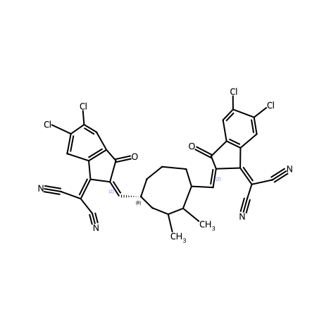 CC1C[C@H](/C=C2\C(=O)c3cc(Cl)c(Cl)cc3C2=C(C#N)C#N)CCCC(/C=C2\C(=O)c3cc(Cl)c(Cl)cc3C2=C(C#N)C#N)C1C